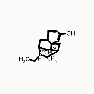 CCN1CC2CC34C=C(O)C=CC3CC1[C@H](C)[C@]24C